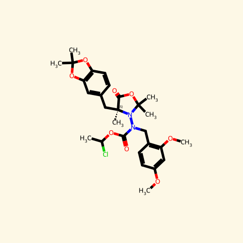 COc1ccc(CN(C(=O)OC(C)Cl)N2C(C)(C)OC(=O)[C@]2(C)Cc2ccc3c(c2)OC(C)(C)O3)c(OC)c1